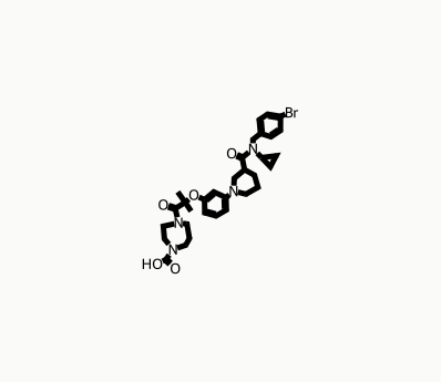 CC(C)(Oc1cccc(N2CCCC(C(=O)N(Cc3ccc(Br)cc3)C3CC3)C2)c1)C(=O)N1CCCN(C(=O)O)CC1